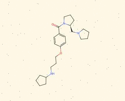 O=C(c1ccc(OCCCNC2CCCC2)cc1)N1CCC[C@H]1CN1CCCC1